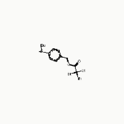 CCC(C)Nc1ccc(COC(=O)C(CC)(CC)C(C)C)cc1